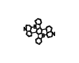 c1ccc2c(c1)B1c3c-2c2c4c(c3-c3cccc5nccc1c35)-c1ccccc1B4c1ccnc3cccc-2c13